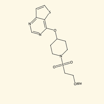 COCCS(=O)(=O)N1CCC(Oc2ncnc3ccsc23)CC1